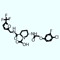 O=C(COc1ccc(Cl)c(F)c1)N[C@H]1CC[C@H](C(=O)NCc2ccc(C(F)(F)F)o2)N(C(=O)O)C1